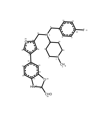 CN1CCC(N(Cc2ccc(F)cc2)Cc2cc(-c3ccc4c(c3)OC(C=O)N4)co2)CC1